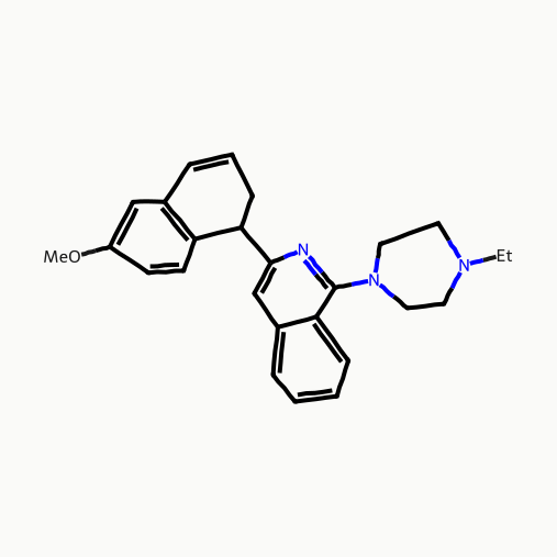 CCN1CCN(c2nc(C3CC=Cc4cc(OC)ccc43)cc3ccccc23)CC1